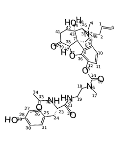 C=CC[N+]1(C)CC[C@]23c4c5ccc(OC(=O)N(C)CCNC(=O)[C@H](Cc6ccc(O)cc6)NC(C)=O)c4O[C@H]2C(=O)CC[C@@]3(O)[C@H]1C5